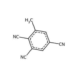 Cc1cc(C#N)cc(C#N)c1C#N